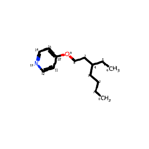 CCCCC(CC)CCOc1ccncc1